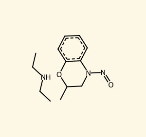 CC1CN(N=O)c2ccccc2O1.CCNCC